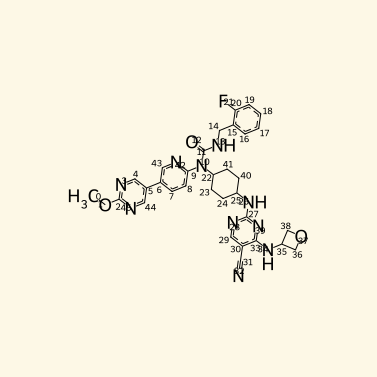 COc1ncc(-c2ccc(N(C(=O)NCc3ccccc3F)C3CCC(Nc4ncc(C#N)c(NC5COC5)n4)CC3)nc2)cn1